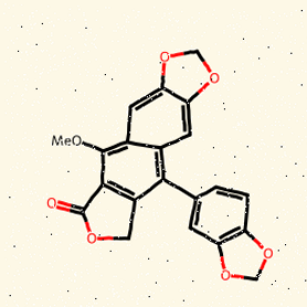 COc1c2c(c(-c3ccc4c(c3)OCO4)c3cc4c(cc13)OCO4)COC2=O